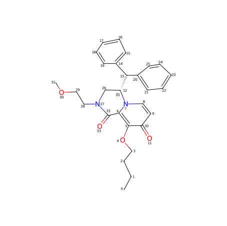 CCCCOc1c2n(ccc1=O)[C@@H](C(c1ccccc1)c1ccccc1)CN(CCOC)C2=O